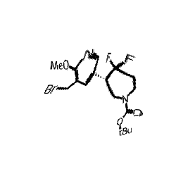 COc1ncc([C@H]2CN(C(=O)OC(C)(C)C)CCC2(F)F)cc1CBr